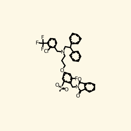 CS(=O)(=O)c1cc(OCCCN(Cc2cccc(C(F)(F)F)c2Cl)CC(c2ccccc2)c2ccccc2)cc(F)c1CN1C(=O)c2ccccc2C1=O